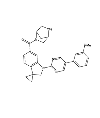 COc1cccc(-c2cnc(N3CC4(CC4)c4ccc(C(=O)N5CC6CC5CN6)cc43)nc2)c1